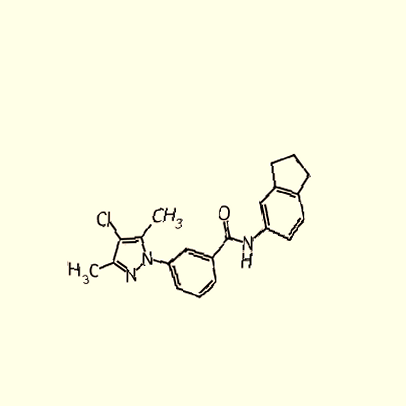 Cc1nn(-c2cccc(C(=O)Nc3ccc4c(c3)CCC4)c2)c(C)c1Cl